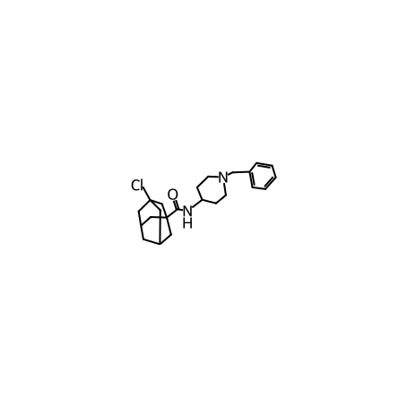 O=C(NC1CCN(Cc2ccccc2)CC1)C12CC3CC(CC(Cl)(C3)C1)C2